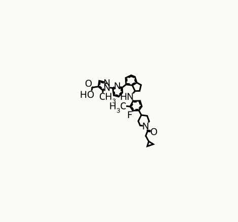 Cc1c(NC2CCc3cccc(-c4cccc(-n5ncc(C(=O)O)c5C)n4)c32)ccc(C2CCN(C(=O)CC3CC3)CC2)c1F